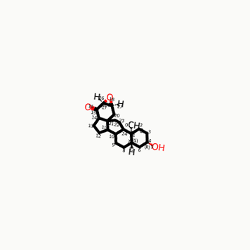 C[C@]12CC[C@@H](O)C[C@@H]1CCC1C3CCC4C(=O)[C@H]5O[C@H]5CC43CCC12